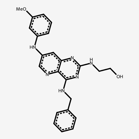 COc1cccc(Nc2cnc3c(NCc4ccccc4)nc(NCCO)nc3c2)c1